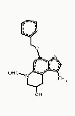 Cc1csc2c(OCc3ccccc3)cc3c(c12)CC(O)CN3C=O